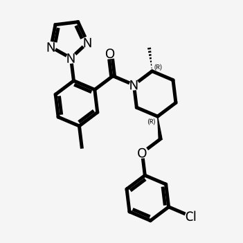 Cc1ccc(-n2nccn2)c(C(=O)N2C[C@H](COc3cccc(Cl)c3)CC[C@H]2C)c1